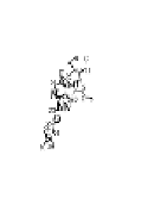 CCC[CH2][Sn]([CH2]CCC)([CH2]CCC)[c]1c(F)cnc2c1cnn2COCC[Si](C)(C)C